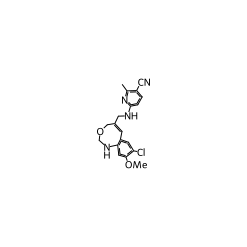 COc1cc2c(cc1Cl)/C=C(/CNc1ccc(C#N)c(C)n1)COCN2